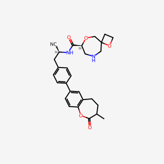 CC1CCc2cc(-c3ccc(C[C@@H](C#N)NC(=O)[C@@H]4CNCC5(CCO5)CO4)cc3)ccc2OC1=O